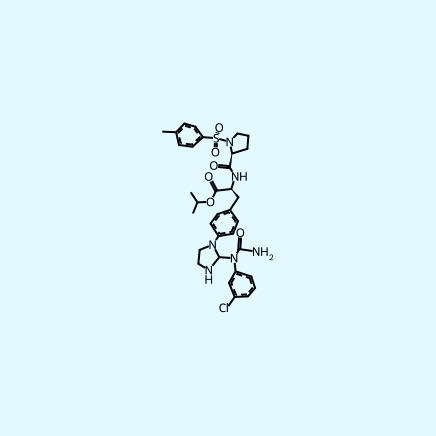 Cc1ccc(S(=O)(=O)N2CCC[C@H]2C(=O)N[C@@H](Cc2ccc(N3CCNC3N(C(N)=O)c3cccc(Cl)c3)cc2)C(=O)OC(C)C)cc1